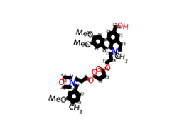 COc1cc(C[N+]2(CCCOC(=O)/C=C\C(=O)OCCC[N@+]3(C)CCc4cc(CO)ccc4[C@H]3Cc3ccc(OC)c(OC)c3)CCOCC2)ccc1C